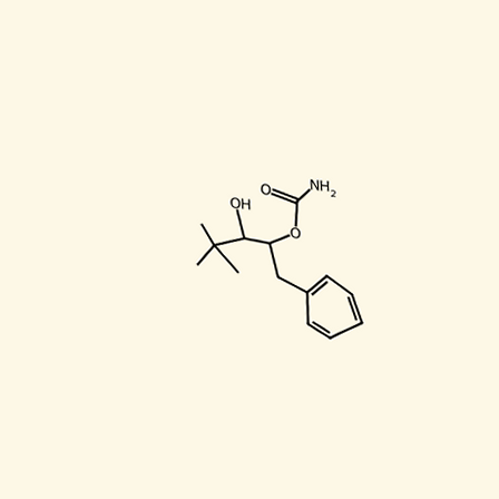 CC(C)(C)C(O)C(Cc1ccccc1)OC(N)=O